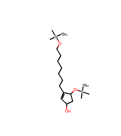 CC(C)(C)[Si](C)(C)OCCCCCCCC1=CC(O)CC1O[Si](C)(C)C(C)(C)C